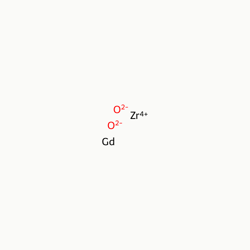 [Gd].[O-2].[O-2].[Zr+4]